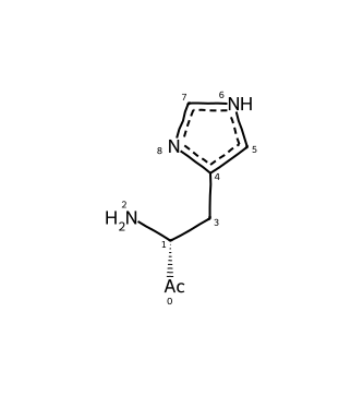 CC(=O)[C@H](N)Cc1c[nH]cn1